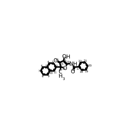 CC1(c2ccc3ccccc3c2)OC(NC(=O)c2ccccc2)=C(O)C1=O